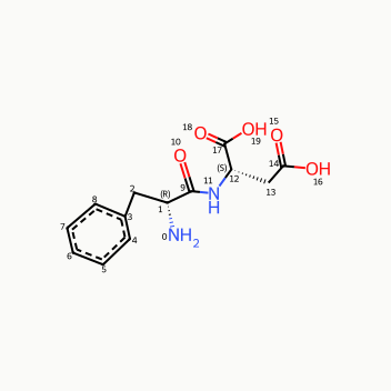 N[C@H](Cc1ccccc1)C(=O)N[C@@H](CC(=O)O)C(=O)O